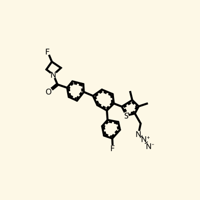 Cc1c(CN=[N+]=[N-])sc(-c2ccc(-c3ccc(C(=O)N4CC(F)C4)cc3)cc2-c2ccc(F)cc2)c1C